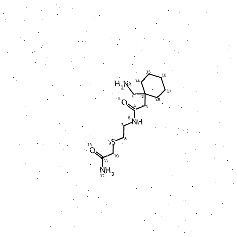 NCC1(CC(=O)NCCSCC(N)=O)CCCCC1